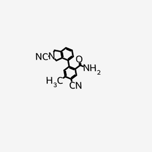 Cc1cc(-c2cccc3c2CN(C#N)C3)c(C(N)=O)cc1C#N